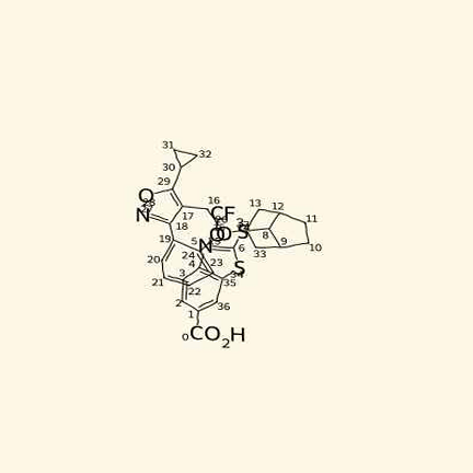 O=C(O)c1ccc2nc(SC3C4CCC3CC(OCc3c(-c5ccccc5OC(F)(F)F)noc3C3CC3)C4)sc2c1